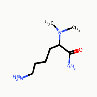 CN(C)C(CCCC[15NH2])C(N)=O